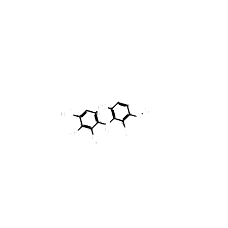 COc1ccc(F)c(Bc2c(F)cc(C)c(F)c2F)c1F